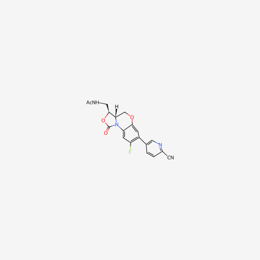 CC(=O)NC[C@@H]1OC(=O)N2c3cc(F)c(-c4ccc(C#N)nc4)cc3OC[C@@H]12